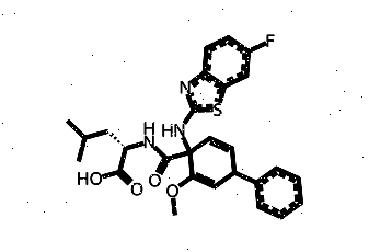 COC1=CC(c2ccccc2)C=CC1(Nc1nc2ccc(F)cc2s1)C(=O)N[C@@H](CC(C)C)C(=O)O